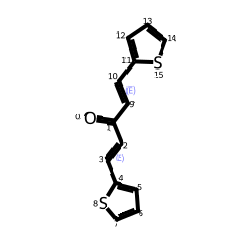 O=C(/C=C/c1cccs1)/C=C/c1cccs1